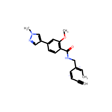 C#C/C=C\C(=C/C)CNC(=O)c1ccc(-c2cnn(C)c2)cc1OC